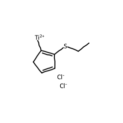 CCSC1=[C]([Ti+2])CC=C1.[Cl-].[Cl-]